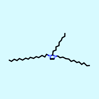 CCCCCCCCCCCCCCCN1C=CN(CCCCCCCCCCCCC)C1CCCCCCCCC